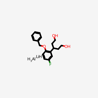 OCCC(CCO)c1cc(F)ccc1OCc1ccccc1.[AlH3].[LiH]